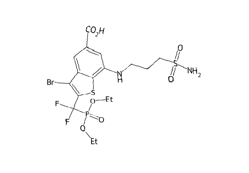 CCOP(=O)(OCC)C(F)(F)c1sc2c(NCCCS(N)(=O)=O)cc(C(=O)O)cc2c1Br